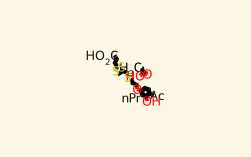 CCC(=O)O.CCCc1c(OCCCSCC2CSC(CCC(=O)O)S2)ccc(C(C)=O)c1O